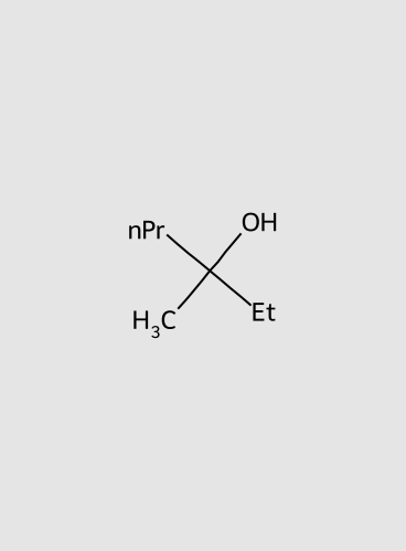 [CH2]CCC(C)(O)CC